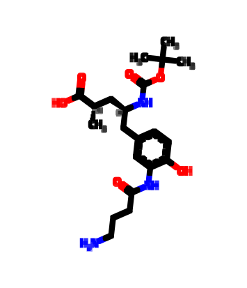 C[C@@H](C[C@H](Cc1ccc(O)c(NC(=O)CCCN)c1)NC(=O)OC(C)(C)C)C(=O)O